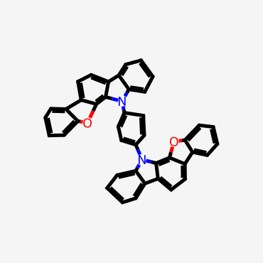 c1ccc2c(c1)oc1c2ccc2c3ccccc3n(-c3ccc(-n4c5ccccc5c5ccc6c7ccccc7oc6c54)cc3)c21